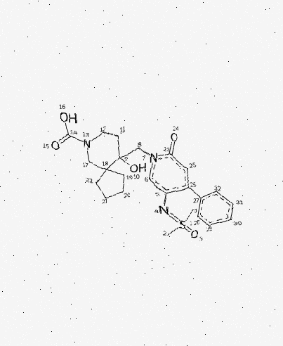 CS(C)(=O)=Nc1cn(CC2(O)CCN(C(=O)O)CC23CCCC3)c(=O)cc1-c1ccccc1